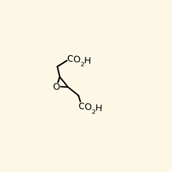 O=C(O)CC1OC1CC(=O)O